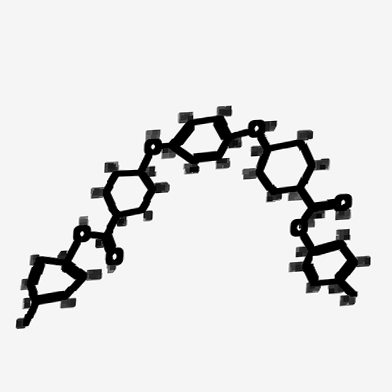 Cc1ccc(OC(=O)C2CCC(Oc3ccc(OC4CCC(C(=O)Oc5ccc(C)cc5)CC4)cc3)CC2)cc1